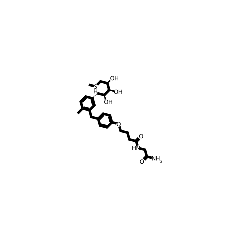 Cc1ccc([C@H]2[C@H](O)[C@H](O)[C@H](O)C[SH]2C)cc1Cc1ccc(OCCCC(=O)NCC(N)=O)cc1